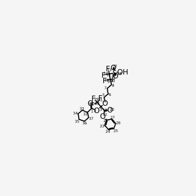 O=C(OC(OCCCCC(F)(F)C(F)(F)S(=O)(=O)O)(C(=O)Oc1ccccc1)C(F)(F)F)C1CCCCC1